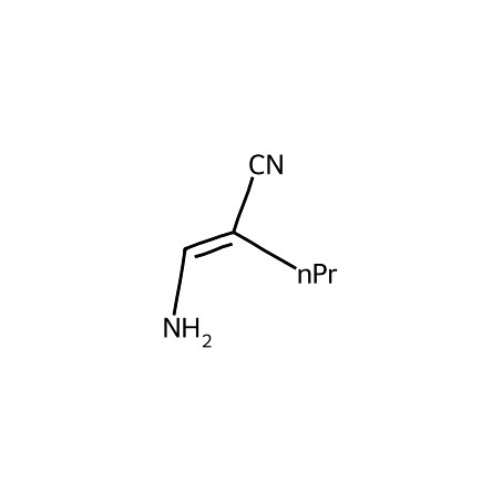 CCC/C(C#N)=C\N